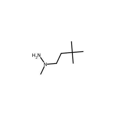 CN(N)CCC(C)(C)C